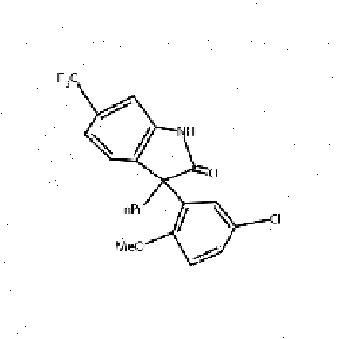 CCCC1(c2cc(Cl)ccc2OC)C(=O)Nc2cc(C(F)(F)F)ccc21